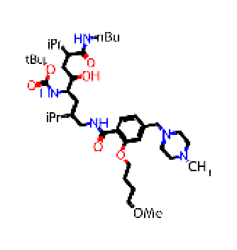 CCCCNC(=O)C(CC(O)C(CC(CNC(=O)c1ccc(CN2CCN(C)CC2)cc1OCCCCOC)C(C)C)NC(=O)OC(C)(C)C)C(C)C